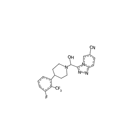 N#Cc1ccc2nnc(C(O)N3CCC(c4cccc(F)c4C(F)(F)F)CC3)n2c1